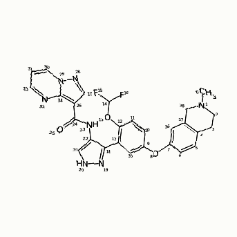 CN1CCc2ccc(Oc3ccc(OC(F)F)c(-c4n[nH]cc4NC(=O)c4cnn5cccnc45)c3)cc2C1